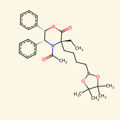 CC[C@]1(CCCCB2OC(C)(C)C(C)(C)O2)C(=O)O[C@@H](c2ccccc2)[C@@H](c2ccccc2)N1C(C)=O